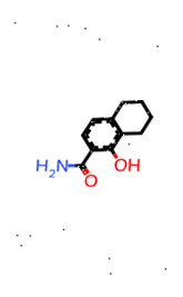 NC(=O)c1ccc2c(c1O)CCCC2